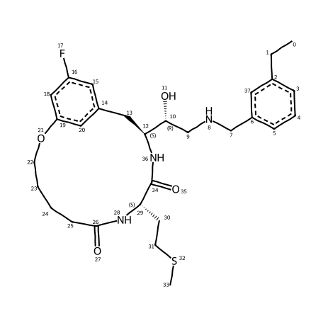 CCc1cccc(CNC[C@@H](O)[C@@H]2Cc3cc(F)cc(c3)OCCCCC(=O)N[C@@H](CCSC)C(=O)N2)c1